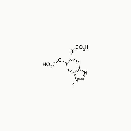 Cn1cnc2cc(OC(=O)O)c(OC(=O)O)cc21